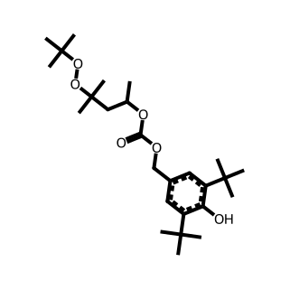 CC(CC(C)(C)OOC(C)(C)C)OC(=O)OCc1cc(C(C)(C)C)c(O)c(C(C)(C)C)c1